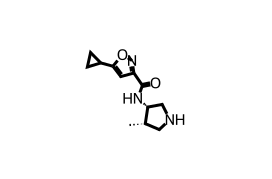 C[C@H]1CNC[C@H]1NC(=O)c1cc(C2CC2)on1